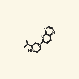 CC(C)C1CN(c2ccc3nccnc3n2)CCN1